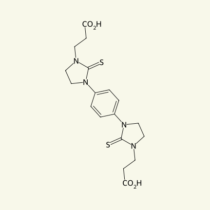 O=C(O)CCN1CCN(c2ccc(N3CCN(CCC(=O)O)C3=S)cc2)C1=S